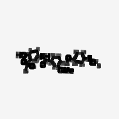 COc1cc(C(=O)Nc2ccc(O)c(S(C)(=O)=O)c2)ccc1COc1ccc(SC(F)(F)F)cc1